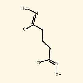 ON=C(Cl)CCCC(Cl)=NO